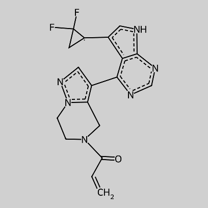 C=CC(=O)N1CCn2ncc(-c3ncnc4[nH]cc([C]5CC5(F)F)c34)c2C1